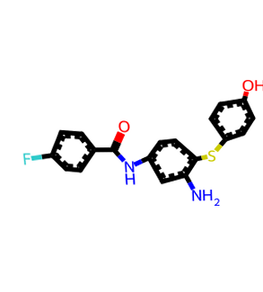 Nc1cc(NC(=O)c2ccc(F)cc2)ccc1Sc1ccc(O)cc1